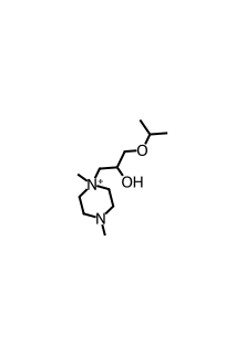 CC(C)OCC(O)C[N+]1(C)CCN(C)CC1